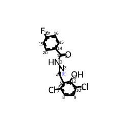 O=C(N/N=C/c1c(Cl)ccc(Cl)c1O)c1ccc(F)cc1